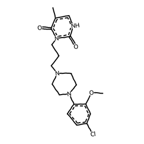 COc1cc(Cl)ccc1N1CCN(CCCn2c(=O)[nH]cc(C)c2=O)CC1